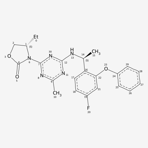 CC[C@H]1COC(=O)N1c1nc(C)nc(N[C@@H](C)c2ccc(F)cc2Oc2ccccc2)n1